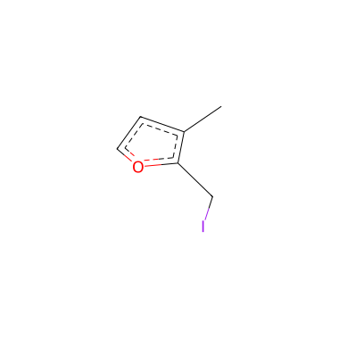 Cc1ccoc1CI